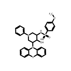 N=S(=O)(NC1CN(c2ccccc2)CC(N2c3ccccc3Oc3ccccc32)C1O)c1ccc(OC(F)(F)F)cc1